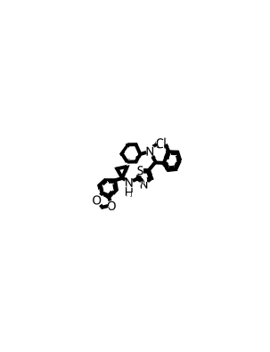 CN(C1CCCCC1)C(c1cnc(NC2(c3ccc4c(c3)OCO4)CC2)s1)c1ccccc1Cl